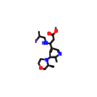 COC(=O)CC(NCC(C)I)c1cnc(C)c(N2CCOC[C@@H]2C)c1